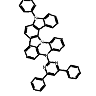 c1ccc(-c2cc(-c3ccccc3)nc(N3c4ccccc4-n4c5c3cccc5c3ccc5c(c6ccccc6n5-c5ccccc5)c34)n2)cc1